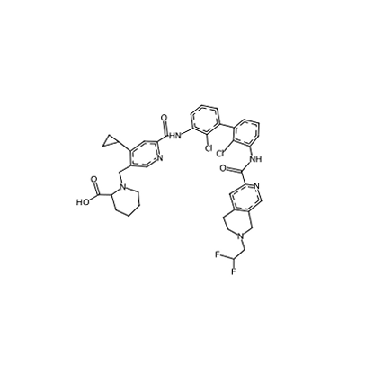 O=C(Nc1cccc(-c2cccc(NC(=O)c3cc(C4CC4)c(CN4CCCCC4C(=O)O)cn3)c2Cl)c1Cl)c1cc2c(cn1)CN(CC(F)F)CC2